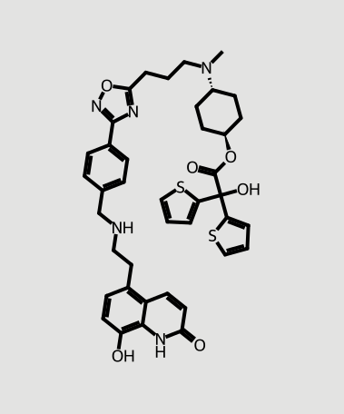 CN(CCCc1nc(-c2ccc(CNCCc3ccc(O)c4[nH]c(=O)ccc34)cc2)no1)[C@H]1CC[C@H](OC(=O)C(O)(c2cccs2)c2cccs2)CC1